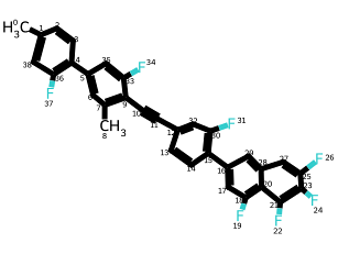 Cc1ccc(-c2cc(C)c(C#Cc3ccc(-c4cc(F)c5c(F)c(F)c(F)cc5c4)c(F)c3)c(F)c2)c(F)c1